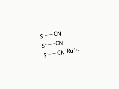 N#C[S-].N#C[S-].N#C[S-].[Ru+3]